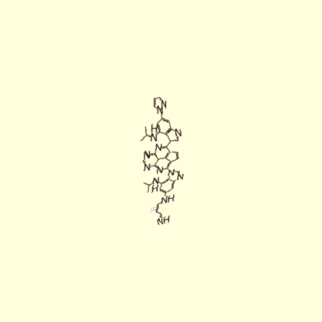 CC(C)Nc1cc(-n2cccn2)cc2c1C(C1=NC3=NC=NC4=NC(n5cnc6cc(N/C=C\C=N)cc(NC(C)C)c65)=C5C=CC1=C5C34)C=N2